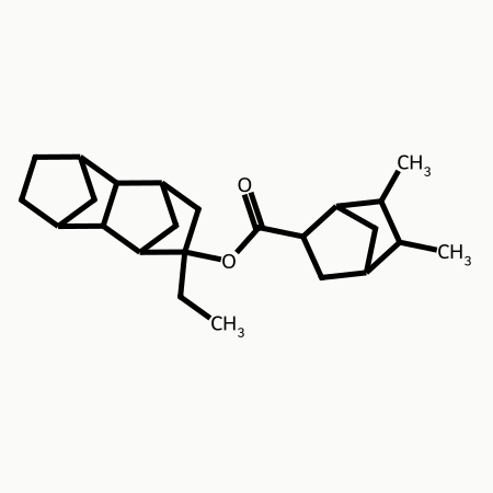 CCC1(OC(=O)C2CC3CC2C(C)C3C)CC2CC1C1C3CCC(C3)C21